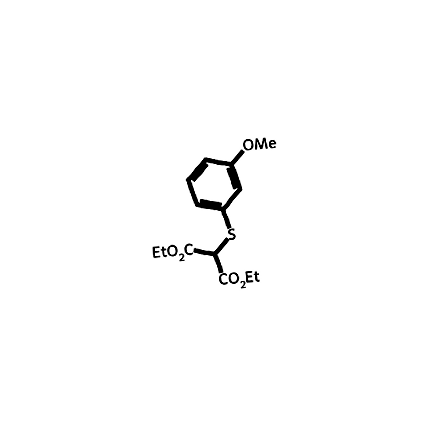 CCOC(=O)C(Sc1cccc(OC)c1)C(=O)OCC